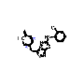 C=C(O)/C=C\C(=C/C)Cc1nnc2sc(Nc3ccccc3Cl)nn12